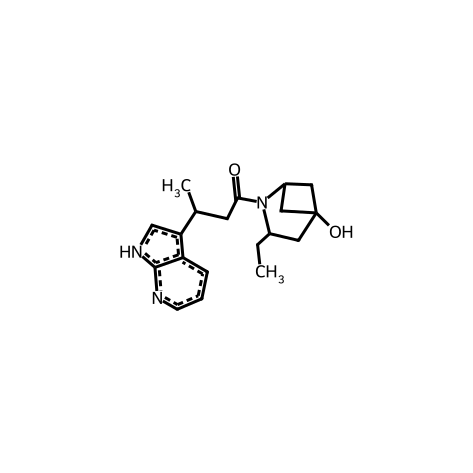 CCC1CC2(O)CC(C2)N1C(=O)CC(C)c1c[nH]c2ncccc12